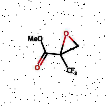 COC(=O)C1(C(F)(F)F)CO1